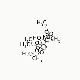 CCCCOC(=O)OC(C)CC(c1ccc(OC(=O)CC(C)CC)c(OC(=O)CC(C)CC)c1)[C@H](N)C(=O)O